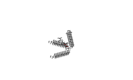 C=C(C)C(=O)OCCNC(=O)OCC(CSC(F)(F)C(F)(F)C(F)(F)C(F)(F)C(F)(F)C(F)(F)C(F)(F)C(F)(F)C(F)(F)C(F)(F)F)(CSC(F)(F)C(F)(F)C(F)(F)C(F)(F)C(F)(F)C(F)(F)C(F)(F)C(F)(F)C(F)(F)C(F)(F)F)CSC(F)(F)C(F)(F)C(F)(F)C(F)(F)C(F)(F)C(F)(F)C(F)(F)C(F)(F)C(F)(F)C(F)(F)F